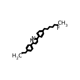 C=CCc1ccc(-c2ccc(-c3ccc(CCCCCC(C)F)cc3)nn2)cc1